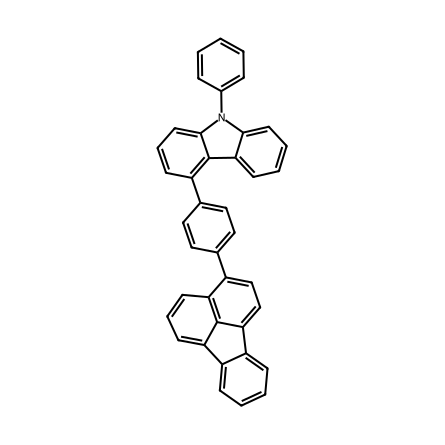 c1ccc(-n2c3ccccc3c3c(-c4ccc(-c5ccc6c7c(cccc57)-c5ccccc5-6)cc4)cccc32)cc1